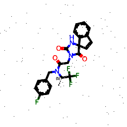 C[C@H](N(Cc1ccc(F)cc1)C(=O)CN1C(=O)NC2(C=Cc3ccccc32)C1=O)C(F)(F)F